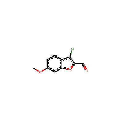 COc1ccc2c(Cl)c(C=O)oc2c1